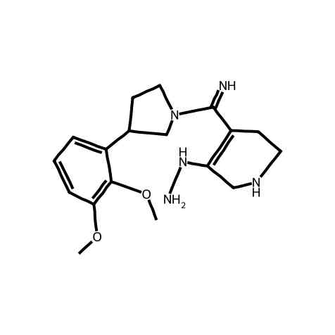 COc1cccc(C2CCN(C(=N)C3=C(NN)CNCC3)C2)c1OC